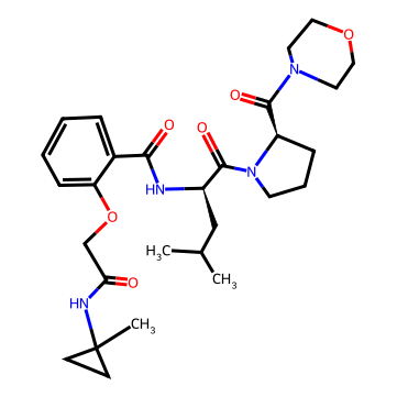 CC(C)C[C@@H](NC(=O)c1ccccc1OCC(=O)NC1(C)CC1)C(=O)N1CCC[C@@H]1C(=O)N1CCOCC1